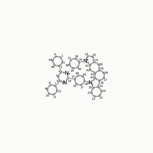 c1ccc(-c2cc(-c3ccccc3)nc(-c3ccc(-n4c5ccccc5c5ccc6cc7ccn(-c8ccccc8)c7cc6c54)cc3)n2)cc1